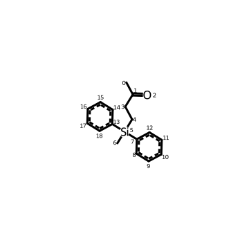 CC(=O)CC[Si](C)(c1ccccc1)c1ccccc1